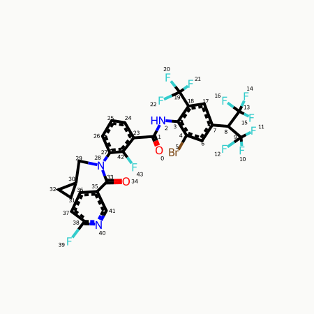 O=C(Nc1c(Br)cc(C(C(F)(F)F)C(F)(F)F)cc1C(F)(F)F)c1cccc(N(CC2CC2)C(=O)c2ccc(F)nc2)c1F